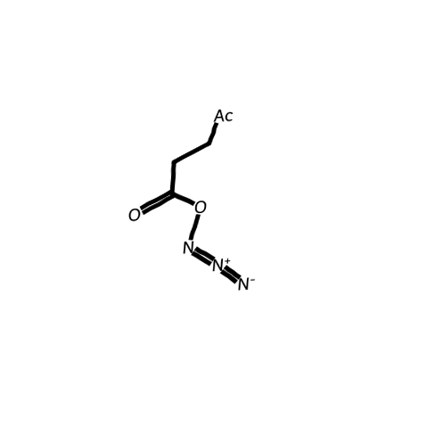 CC(=O)CCC(=O)ON=[N+]=[N-]